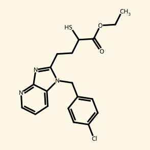 CCOC(=O)C(S)CCc1nc2ncccc2n1Cc1ccc(Cl)cc1